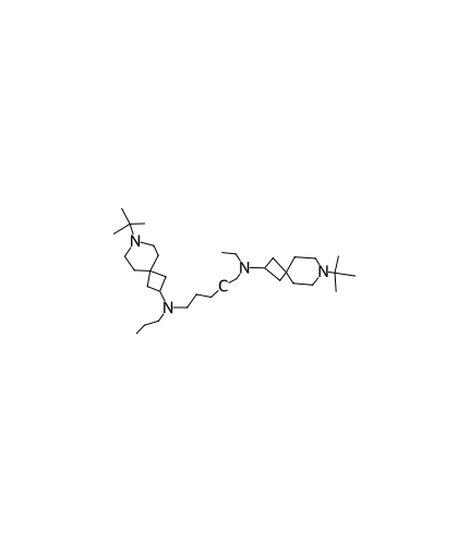 CCCN(CCCCCN(CC)C1CC2(CCN(C(C)(C)C)CC2)C1)C1CC2(CCN(C(C)(C)C)CC2)C1